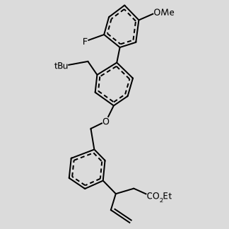 C=CC(CC(=O)OCC)c1cccc(COc2ccc(-c3cc(OC)ccc3F)c(CC(C)(C)C)c2)c1